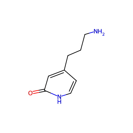 NCCCc1cc[nH]c(=O)c1